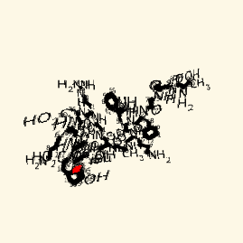 CC[C@H](C)[C@H](NC(=O)[C@H](CCCCN)NC(=O)[C@H](CC(=O)O)NC(=O)[C@H](CCCNC(=N)N)NC(=O)CNC(=O)[C@@H](NC(=O)[C@H](C)NC(=O)[C@H](CCCCN)NC(=O)[C@H](Cc1c[nH]c2ccccc12)NC(=O)[C@H](Cc1ccccc1)NC(=O)CNC(=O)[C@@H](NC(=O)[C@@H](N)[C@@H](C)O)C(C)C)[C@@H](C)O)C(=O)N[C@H](C(=O)N[C@@H](Cc1ccc(O)cc1)C(=O)O)[C@@H](C)CC